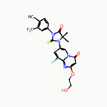 CC1(C)C(=O)N(c2ccc(C#N)c(C(F)(F)F)c2)C(=S)N1c1cc(F)c2nc(OCCO)cc(=O)n2c1